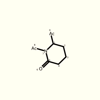 CC(=O)C1CCCC(=O)N1C(C)=O